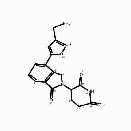 NCc1cc(-c2cccc3c2CN(C2CCC(=O)NC2=O)C3=O)on1